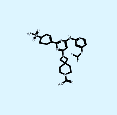 CC(=O)N1CCC2(CC1)CN(c1cc(Nc3cc(OC(F)F)ccn3)nc(C3=CCC(S(C)(=O)=O)CC3)n1)C2